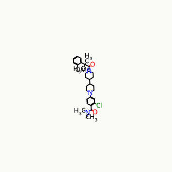 COc1ccccc1C(C)(C)C(=O)N1CCC(C2CCN(c3ccc(C(=O)N(C)C)c(Cl)c3)CC2)CC1